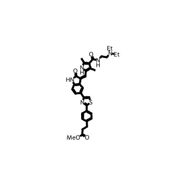 CCN(CC)CCNC(=O)c1c(C)[nH]c(/C=C2\C(=O)Nc3ccc(-c4csc(-c5ccc(CCC(=O)OC)cc5)n4)cc32)c1C